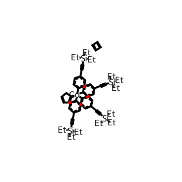 C1=CC=C1.CC[Si](C#Cc1cc[c]([Co]([C]2=CC=CC2)([c]2ccc(C#C[Si](CC)(CC)CC)cc2)([c]2ccc(C#C[Si](CC)(CC)CC)cc2)[c]2ccc(C#C[Si](CC)(CC)CC)cc2)cc1)(CC)CC